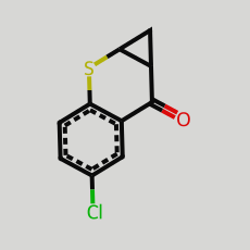 O=C1c2cc(Cl)ccc2SC2CC12